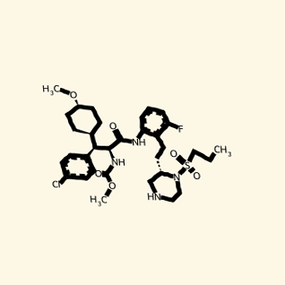 CCCS(=O)(=O)N1CCNC[C@@H]1CCc1c(F)cccc1NC(=O)[C@@H](NC(=O)OC)[C@@H](c1ccc(Cl)cc1)[C@H]1CC[C@H](OC)CC1